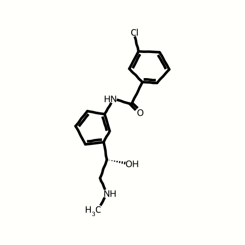 CNC[C@@H](O)c1cccc(NC(=O)c2cccc(Cl)c2)c1